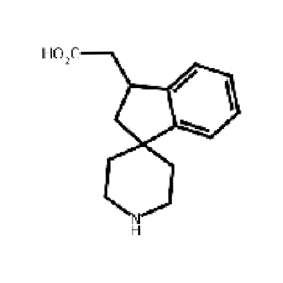 O=C(O)CC1CC2(CCNCC2)c2ccccc21